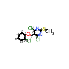 CSc1nc(Cl)c(COc2ccccc2Cl)c(Cl)n1